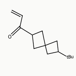 C=CC(=O)C1CC2(C1)CC(C(C)(C)C)C2